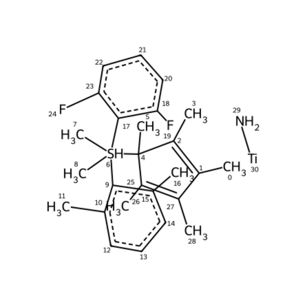 CC1=C(C)C(C)([SH](C)(C)(c2c(C)cccc2C)c2c(F)cccc2F)C(C)=C1C.[NH2][Ti]